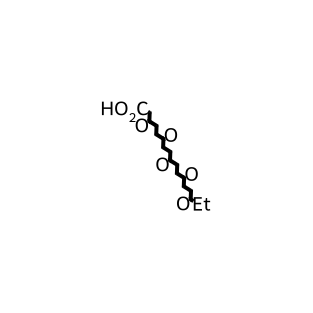 CCC(=O)CCC(=O)CCC(=O)CCC(=O)CCC(=O)CC(=O)O